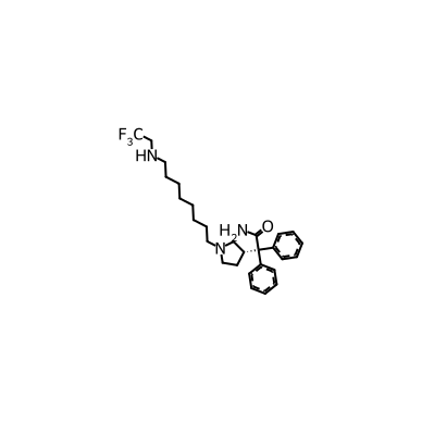 NC(=O)C(c1ccccc1)(c1ccccc1)[C@@H]1CCN(CCCCCCCCNCC(F)(F)F)C1